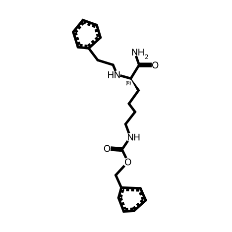 NC(=O)[C@@H](CCCCNC(=O)OCc1ccccc1)NCCc1ccccc1